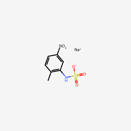 Cc1ccc([N+](=O)[O-])cc1NS(=O)(=O)[O-].[Na+]